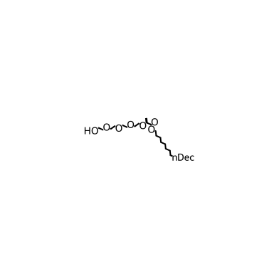 C=C(OCCOCCOCCOCCO)C(=O)OCCCCCCCCCCCCCCCCCC